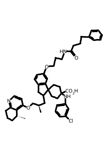 C[C@@H](COc1ccnc2c1[C@H](C)CCC2)CC1Cc2ccc(OCCCNC(=O)CCCc3ccccc3)cc2C12CCC(Nc1cccc(Cl)c1)(C(=O)O)CC2